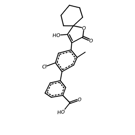 Cc1cc(-c2cccc(C(=O)O)c2)c(Cl)cc1C1=C(O)C2(CCCCC2)OC1=O